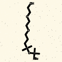 CCCC[Si](C)(C)O[Si](C)(C)CCCOCCOCCO